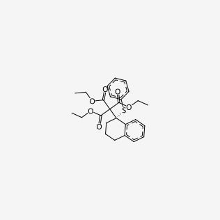 CCOC(=O)C(C(=O)OCC)(C(=O)OCC)[C@]1(Sc2ccccc2)CCCc2ccccc21